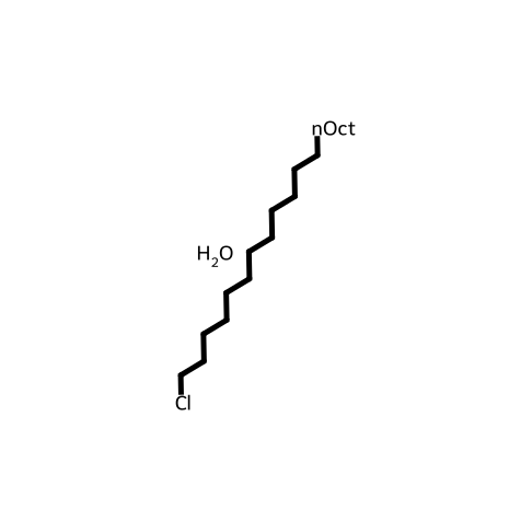 CCCCCCCCCCCCCCCCCCCCCl.O